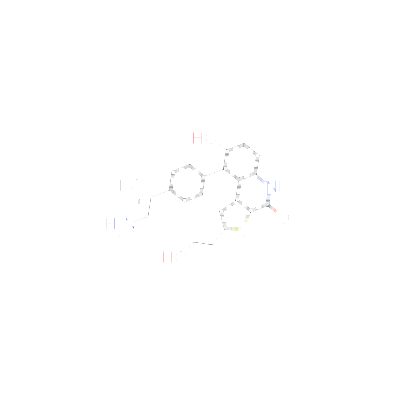 C[C@@H](CN)c1ccc(-c2c(O)ccc3[nH]c(=O)c4sc(CCO)cc4c23)cc1